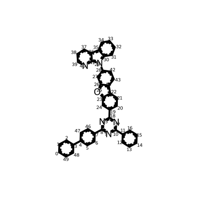 c1ccc(-c2ccc(-c3nc(-c4ccccc4)nc(-c4ccc5c(c4)oc4cc(-n6c7ccccc7c7cccnc76)ccc45)n3)cc2)cc1